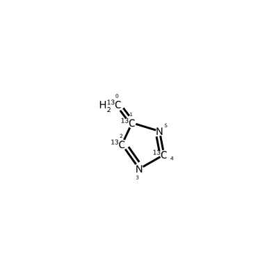 [13CH2]=[13C]1[13CH]=N[13CH]=N1